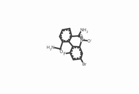 NC(=O)c1cccc(C(N)=O)c1-c1c(F)cc(Br)cc1[N+](=O)[O-]